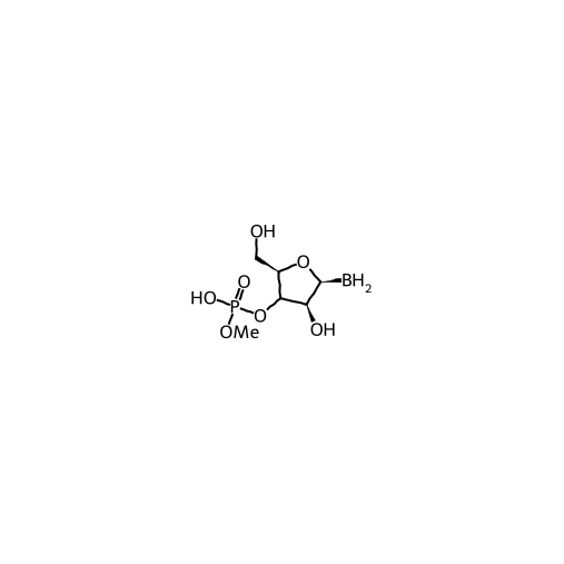 B[C@@H]1O[C@H](CO)C(OP(=O)(O)OC)[C@@H]1O